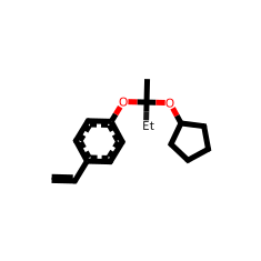 C=Cc1ccc(OC(C)(CC)OC2CCCC2)cc1